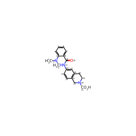 CN(C)c1ccccc1C(=O)Nc1ccc2c(c1)CCN(C(=O)O)C2